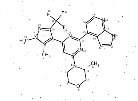 Cc1c(-c2cc(N3CCOC[C@H]3C)nc(-c3ccnc4[nH]ccc34)n2)c(C(F)(F)F)nn1C